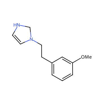 COc1cccc(CCN2C=CNC2)c1